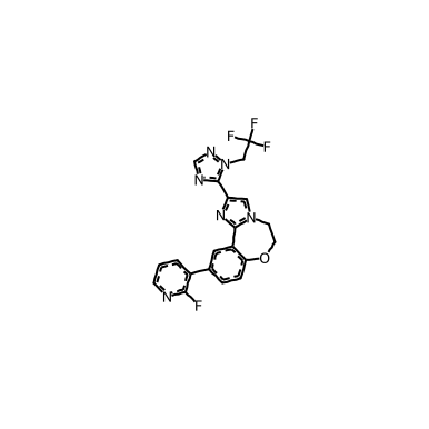 Fc1ncccc1-c1ccc2c(c1)-c1nc(-c3ncnn3CC(F)(F)F)cn1CCO2